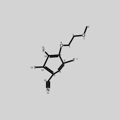 COCCOc1c(F)cc(C#N)c(I)c1F